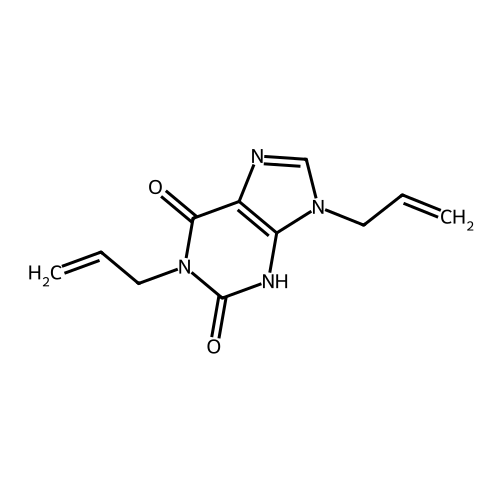 C=CCn1c(=O)[nH]c2c(ncn2CC=C)c1=O